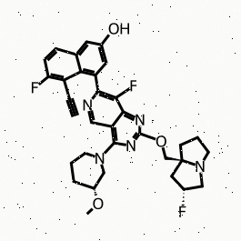 C#Cc1c(F)ccc2cc(O)cc(-c3ncc4c(N5CCC[C@@H](OC)C5)nc(OC[C@@]56CCCN5C[C@H](F)C6)nc4c3F)c12